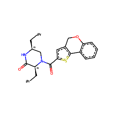 CC(C)C[C@H]1CN(C(=O)c2cc3c(s2)-c2ccccc2OC3)[C@@H](CC(C)C)C(=O)N1